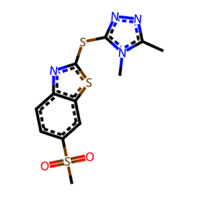 Cc1nnc(Sc2nc3ccc(S(C)(=O)=O)cc3s2)n1C